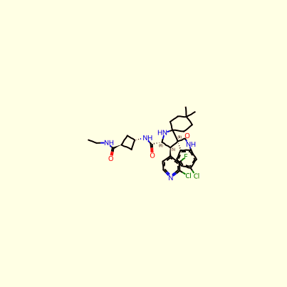 CCNC(=O)[C@H]1C[C@H](NC(=O)[C@@H]2NC3(CCC(C)(C)CC3)[C@@]3(C(=O)Nc4cc(Cl)ccc43)[C@H]2c2ccnc(Cl)c2F)C1